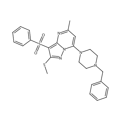 CSc1nn2c(N3CCN(Cc4ccccc4)CC3)cc(C)nc2c1S(=O)(=O)c1ccccc1